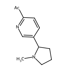 CC(=O)c1ccc(C2CCCN2C)cn1